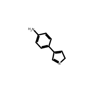 Nc1ccc(C2=CCN=C2)cc1